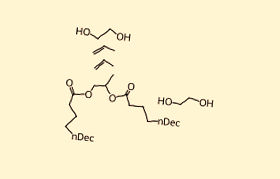 C=CC.C=CC.CCCCCCCCCCCCCC(=O)OCC(C)OC(=O)CCCCCCCCCCCCC.OCCO.OCCO